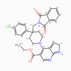 CCOC(=O)c1cnc2c(c1N1CCC(CN3C(=O)c4ccccc4C3=O)(c3ccc(Cl)cc3)CC1)=CCN=2